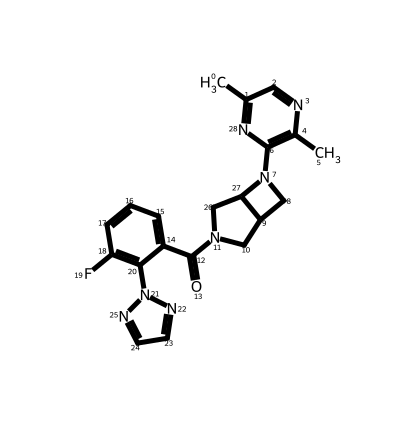 Cc1cnc(C)c(N2CC3CN(C(=O)c4cccc(F)c4-n4nccn4)CC32)n1